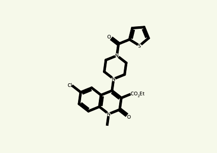 CCOC(=O)c1c(N2CCN(C(=O)c3cccs3)CC2)c2cc(Cl)ccc2n(C)c1=O